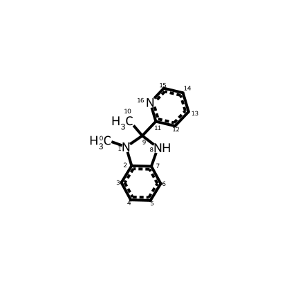 CN1c2ccccc2NC1(C)c1ccccn1